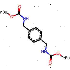 CCCCOC(=O)NCc1ccc(CNC(=O)OCCCC)cc1